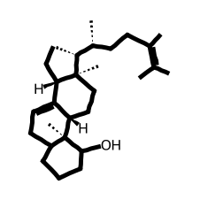 CC(C)=C(C)CC[C@@H](C)[C@H]1CC[C@H]2C3=CCC4CCCC(O)[C@]4(C)[C@H]3CC[C@]12C